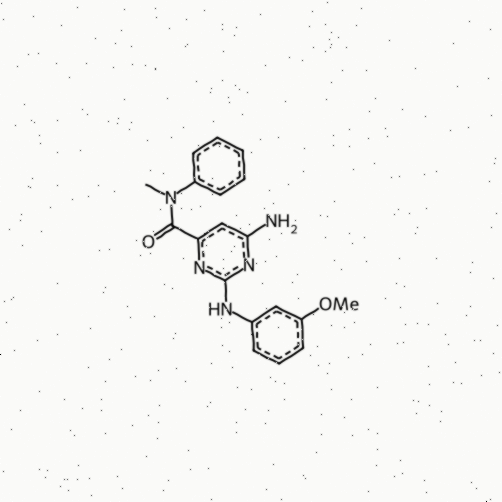 COc1cccc(Nc2nc(N)cc(C(=O)N(C)c3ccccc3)n2)c1